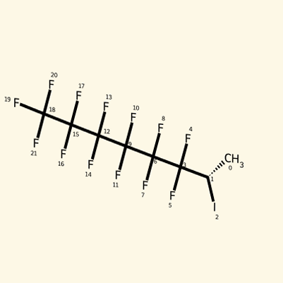 C[C@H](I)C(F)(F)C(F)(F)C(F)(F)C(F)(F)C(F)(F)C(F)(F)F